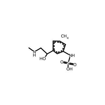 C.CNCC(O)c1cccc(NS(=O)(=O)O)c1